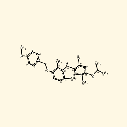 COc1ccc(COc2ccc(C)c(Nc3nc(C)c(OC(C)C)cc3Br)c2C)cc1